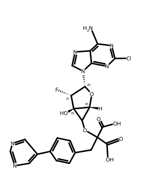 Nc1nc(Cl)nc2c1ncn2[C@@H]1O[C@@H]2C(OC(Cc3ccc(-c4cncnc4)cc3)(C(=O)O)C(=O)O)[C@]2(O)[C@@H]1F